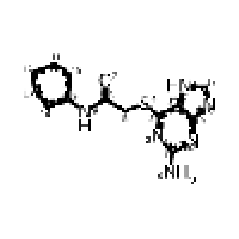 Nc1nc(SCC(=O)Nc2ccccc2)c2[nH]cnc2n1